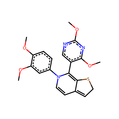 COc1ncc(C2=C3SCC=C3C=CN2c2ccc(OC)c(OC)c2)c(OC)n1